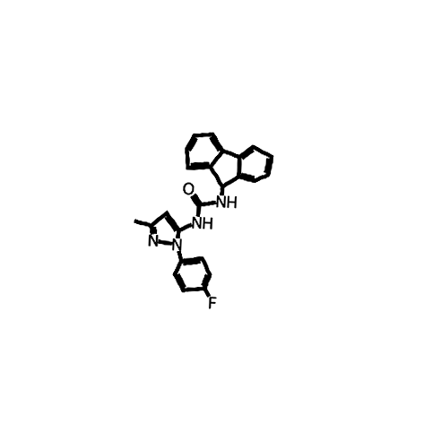 Cc1cc(NC(=O)NC2c3ccccc3-c3ccccc32)n(-c2ccc(F)cc2)n1